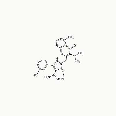 Cc1cccc2cc(CN3NC(c4cccc(O)c4)=C4C3=CN=CN4N)n(C(C)C)c(=O)c12